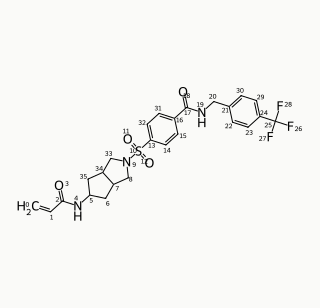 C=CC(=O)NC1CC2CN(S(=O)(=O)c3ccc(C(=O)NCc4ccc(C(F)(F)F)cc4)cc3)CC2C1